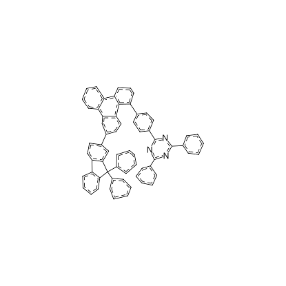 c1ccc(-c2nc(-c3ccccc3)nc(-c3ccc(-c4cccc5c6ccccc6c6cc(-c7ccc8c(c7)C(c7ccccc7)(c7ccccc7)c7ccccc7-8)ccc6c45)cc3)n2)cc1